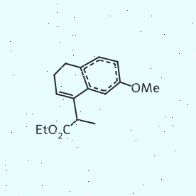 CCOC(=O)C(C)C1=CCCc2ccc(OC)cc21